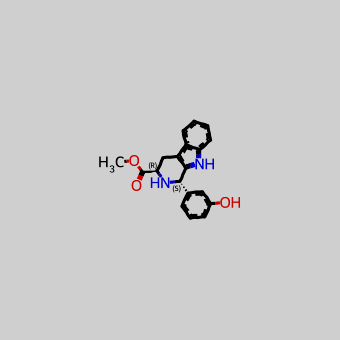 COC(=O)[C@H]1Cc2c([nH]c3ccccc23)[C@H](c2cccc(O)c2)N1